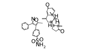 C=C1C[C@@H]2[C@H](CC[C@]3(C)C(=O)CC[C@@H]23)[C@@]2(C)C=CC(=O)C=C12.Cc1onc(-c2ccccc2)c1-c1ccc(S(N)(=O)=O)cc1